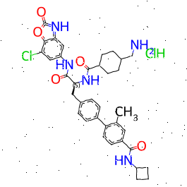 Cc1cc(C(=O)NC2CCC2)ccc1-c1ccc(C[C@H](NC(=O)C2CCC(CN)CC2)C(=O)Nc2cc(Cl)c3oc(=O)[nH]c3c2)cc1.Cl